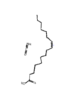 CCCCCC/C=C\CCCCCCCC(=O)O.N=C=O